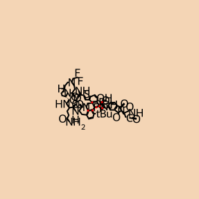 CC(C)(C)c1ccc(CC(NC(=O)C(CCC(N)=O)NC(=O)[C@@H]2CC[C@@H]3CCN(CC(F)F)C[C@H](NC(=O)c4cc5cc(C(F)(F)P(=O)(O)O)ccc5s4)C(=O)N32)C(=O)N2CCC(C3CN(c4ccc5c(c4)C(=O)N(C4CCC(=O)NC4=O)C5=O)C3)CC2)cc1